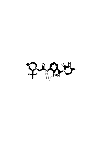 Cn1nc(N2CCC(=O)NC2=O)c2cccc(NC(=O)CN3CCNCC3C(F)(F)F)c21